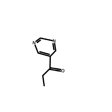 CCC(=O)c1cncnc1